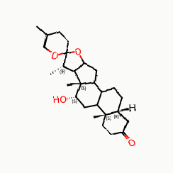 CC1CCC2(OC1)OC1CC3C4CC[C@@H]5CC(=O)CC[C@]5(C)C4C[C@H](O)[C@]3(C)C1[C@@H]2C